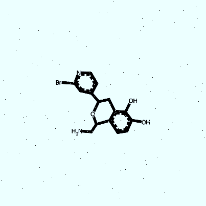 NCC1OC(c2ccnc(Br)c2)Cc2c1ccc(O)c2O